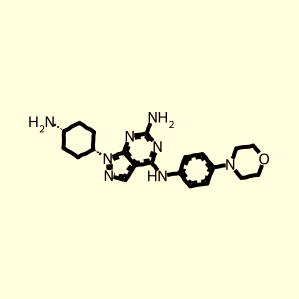 Nc1nc(Nc2ccc(N3CCOCC3)cc2)c2cnn([C@H]3CC[C@@H](N)CC3)c2n1